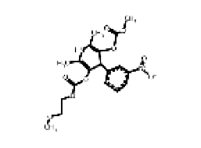 COCCOC(=O)OC1=C(C)NC(C)=C(OC(=O)OC)C1c1cccc([N+](=O)[O-])c1